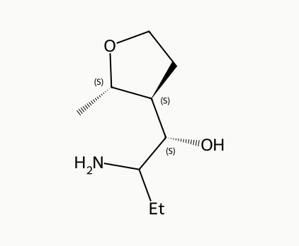 CCC(N)[C@@H](O)[C@@H]1CCO[C@H]1C